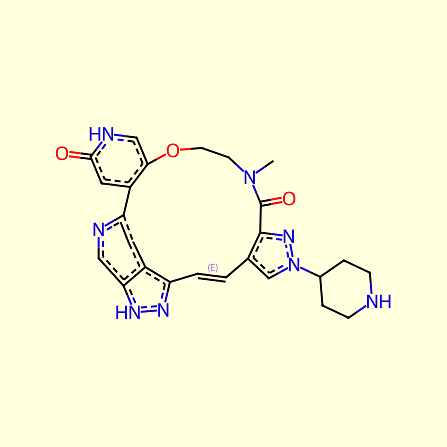 CN1CCOc2c[nH]c(=O)cc2-c2cc3c(n[nH]c3cn2)/C=C/c2cn(C3CCNCC3)nc2C1=O